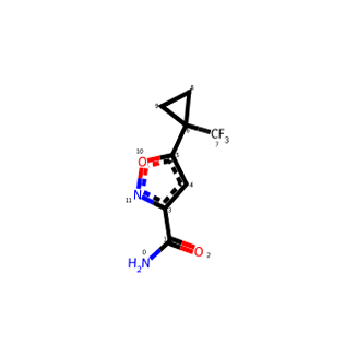 NC(=O)c1cc(C2(C(F)(F)F)CC2)on1